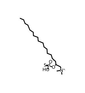 CCCCCCCCCCCCCCCCC(C[N+](C)(C)C)OP([O-])(O)=S